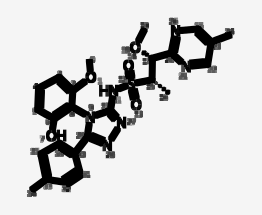 COc1cccc(O)c1-n1c(NS(=O)(=O)[C@@H](C)[C@H](OC)c2ncc(C)cn2)nnc1-c1c#cc(C)cc1